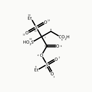 CCS(=O)(=O)OC(=O)C(CC(=O)O)(S(=O)(=O)O)S(=O)(=O)CC